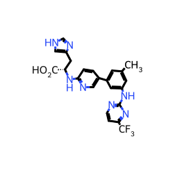 Cc1cc(Nc2nccc(C(F)(F)F)n2)cc(-c2ccc(N[C@@H](Cc3c[nH]cn3)C(=O)O)nc2)c1